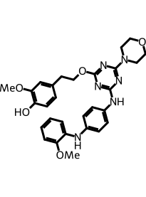 COc1cc(CCOc2nc(Nc3ccc(Nc4ccccc4OC)cc3)nc(N3CCOCC3)n2)ccc1O